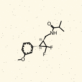 COc1cccc([C@@H]2[C@@H](CNC(=O)C(C)C)C2(F)F)c1